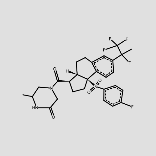 CC1CN(C(=O)[C@@H]2CC[C@@]3(S(=O)(=O)c4ccc(F)cc4)c4ccc(C(C)(F)C(F)(F)F)cc4CC[C@@H]23)CC(=O)N1